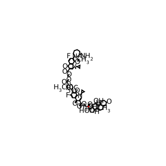 COc1c(N2CCN(C(=O)OCOC(=O)c3cn(C4CC4)c4c(OC)c(N5CCCC[C@H](N)C5)c(F)cc4c3=O)C(C)C2)c(F)cc2c(=O)c(C(=O)OCC(=O)[C@]3(O)CC[C@@H]4[C@H]5CCC6=CC(=O)CC[C@@]6(C)[C@@H]5[C@H](O)C[C@]43C)cn(C3CC3)c12